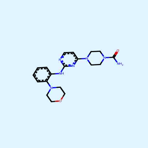 NC(=O)N1CCN(c2ccnc(Nc3ccccc3N3CCOCC3)n2)CC1